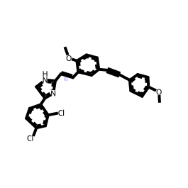 COc1ccc(C#Cc2ccc(OC)c(/C=C/c3nc(-c4ccc(Cl)cc4Cl)c[nH]3)c2)cc1